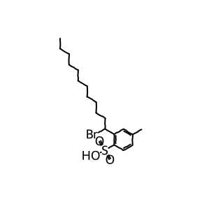 CCCCCCCCCCCC(Br)c1cc(C)ccc1S(=O)(=O)O